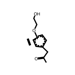 C=C.CC(=O)Cc1ccc(OCCO)cc1